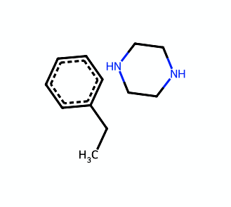 C1CNCCN1.CCc1ccccc1